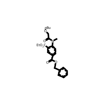 CCCCOCC(=O)N(C)c1ccc(C(=O)OCc2ccccc2)cc1C(=O)OCC